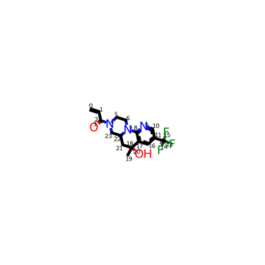 C=CC(=O)N1CCN2c3ncc(C(F)(F)F)cc3C(C)(O)CC2C1